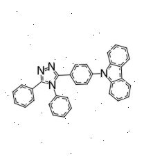 c1ccc(-c2nnc(-c3ccc(-n4c5ccccc5c5ccccc54)cc3)n2-c2ccccc2)cc1